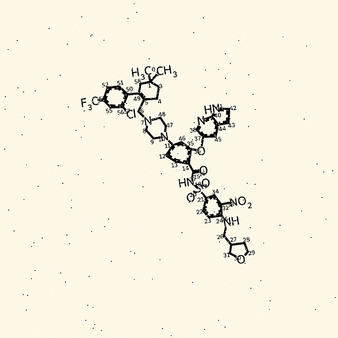 CC1(C)CCC(CN2CCN(c3ccc(C(=O)NS(=O)(=O)c4ccc(NCC5CCOC5)c([N+](=O)[O-])c4)c(Oc4cnc5[nH]ccc5c4)c3)CC2)=C(c2ccc(C(F)(F)F)cc2Cl)C1